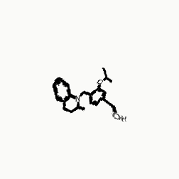 CC(C)Oc1cc(CO)ccc1CN1c2ccccc2CCC1C